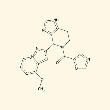 COc1cccn2nc(C3c4nc[nH]c4CCN3C(=O)c3cnco3)cc12